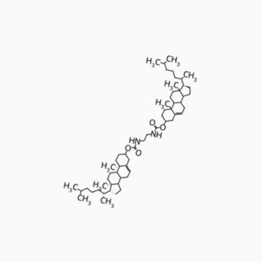 CC(C)CCC[C@@H](C)[C@H]1CCC2C3CC=C4CC(OC(=O)NCCNC(=O)OC5CC[C@@]6(C)C(=CCC7C6CC[C@@]6(C)C7CC[C@@H]6[C@H](C)CCCC(C)C)C5)CC[C@]4(C)C3CC[C@@]21C